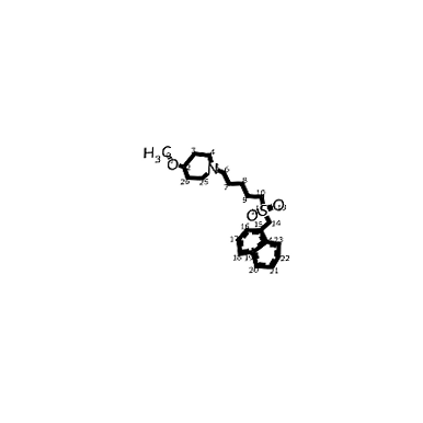 COC1CCN(CCCCCS(=O)(=O)Cc2cccc3ccccc23)CC1